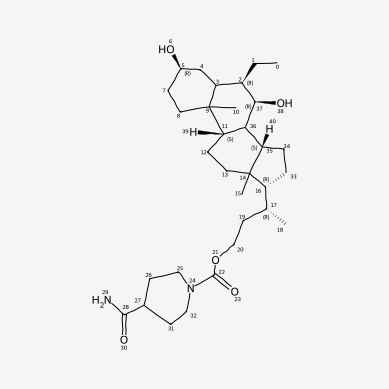 CC[C@@H]1C2C[C@H](O)CCC2(C)[C@H]2CCC3(C)[C@@H]([C@H](C)CCOC(=O)N4CCC(C(N)=O)CC4)CC[C@H]3C2[C@@H]1O